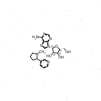 CN1CCCC1c1cccnc1.Nc1ncnc2c1ncn2[C@@H]1O[C@H](CO)[C@@H](O)[C@H]1O